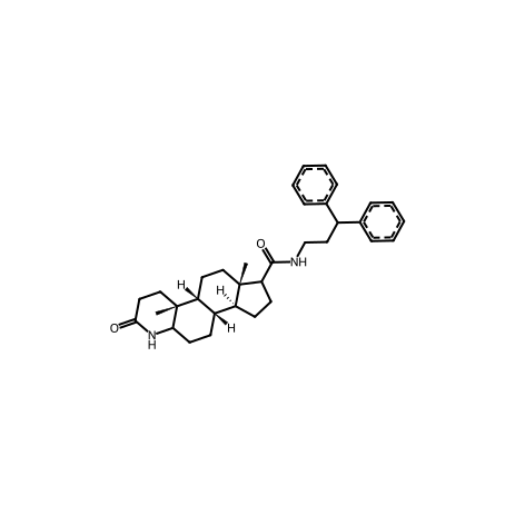 C[C@]12CCC(=O)NC1CC[C@@H]1[C@H]2CC[C@]2(C)C(C(=O)NCCC(c3ccccc3)c3ccccc3)CC[C@@H]12